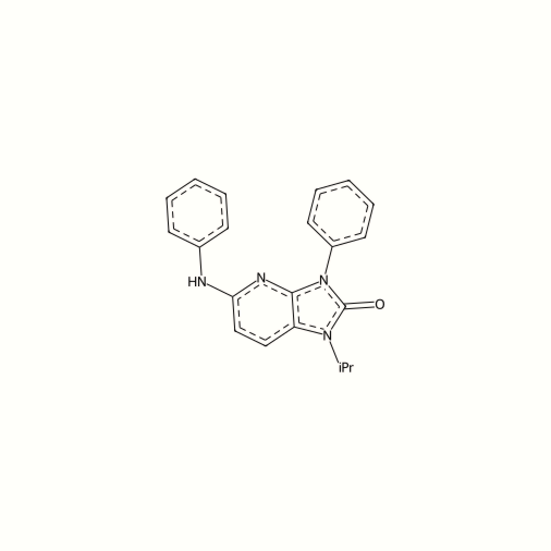 CC(C)n1c(=O)n(-c2ccccc2)c2nc(Nc3ccccc3)ccc21